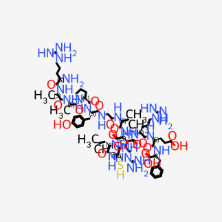 CC(C)C[C@H](NC(=O)[C@H](CCCNC(=N)N)NC(=O)[C@@H](NC(=O)CNC(=O)[C@H](Cc1ccc(O)cc1)NC(=O)[C@@H]1CCCN1C(=O)[C@H](C)NC(=O)[C@H](C)NC(=O)[C@@H](N)CCCNC(=N)N)C(C)C)C(=O)N[C@@H](CS)C(=O)NCC(=O)N[C@@H](CCCNC(=N)N)C(=O)N[C@@H](CCC(=O)O)C(=O)N[C@@H](Cc1ccccc1)C(=O)O